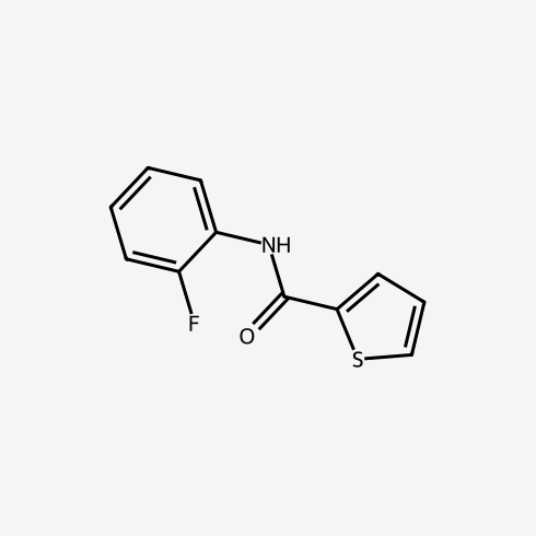 O=C(Nc1ccccc1F)c1cccs1